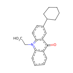 O=C(O)Cn1c2ccccc2c(=O)c2cc(C3CCCCC3)ccc21